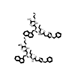 CC[C@H](C)[C@@H](CN(CC(=O)N[C@@H](CCSC)C(=O)O)Cc1cccc2ccccc12)NC(=O)Cc1cn(Cc2ccccc2)cn1.CC[C@H](C)[C@@H](CN(CC(=O)N[C@@H](CCSC)C(=O)OC)Cc1cccc2ccccc12)NC(=O)Cc1cn(Cc2ccccc2)cn1